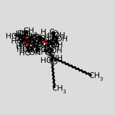 CCCCCCCCCCCCC/C=C/[C@@H](O)[C@H](CO[C@@H]1OC(CO)[C@@H](O[C@@H]2OC(CO)[C@H](O[C@@H]3OC(CO)[C@H](O)[C@H](O)C3NC(C)=O)[C@H](O[C@H]3OC(CO)[C@H](O)[C@H](O[C@@H]4OC(CO)[C@@H](O[C@@H]5OC(CO)[C@H](O)[C@H](O[C@]6(C(=O)O)CC(O)[C@@H](NC(C)=O)C([C@H](O)[C@H](O)CO)O6)C5O)[C@H](O[C@H]5OC(C)[C@@H](O)C(O)[C@@H]5O)C4NC(C)=O)C3O)C2O)[C@H](O)C1O)NC(=O)CCCCCCCCCCCCCCCCCCCCC